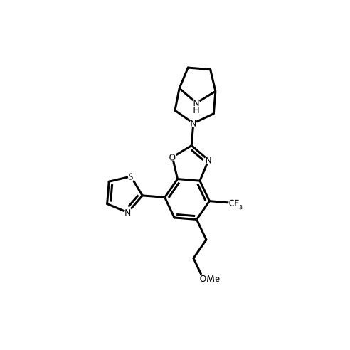 COCCc1cc(-c2nccs2)c2oc(N3CC4CCC(C3)N4)nc2c1C(F)(F)F